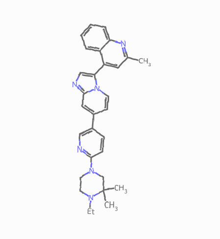 CCN1CCN(c2ccc(-c3ccn4c(-c5cc(C)nc6ccccc56)cnc4c3)cn2)CC1(C)C